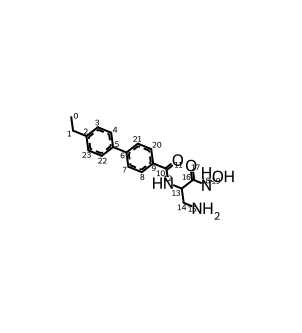 CCc1ccc(-c2ccc(C(=O)NC(CN)C(=O)NO)cc2)cc1